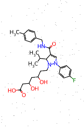 Cc1ccc(CNC(=O)C2=CN(c3ccc(F)cc3)N(CCC(O)CC(O)CC(=O)O)C2C(C)C)cc1